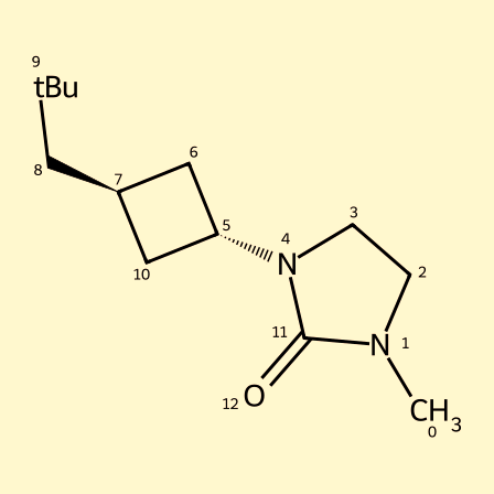 CN1CCN([C@H]2C[C@H](CC(C)(C)C)C2)C1=O